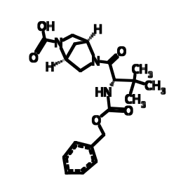 CC(C)(C)[C@H](NC(=O)OCc1ccccc1)C(=O)N1C[C@@H]2C[C@H]1CN2C(=O)O